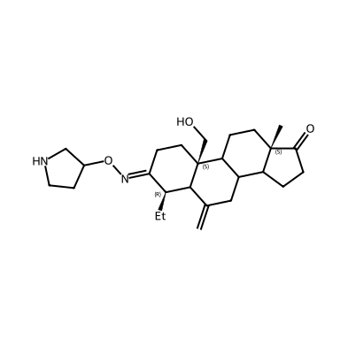 C=C1CC2C(CC[C@]3(C)C(=O)CCC23)[C@@]2(CO)CCC(=NOC3CCNC3)[C@H](CC)C12